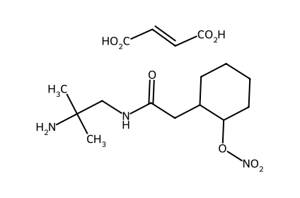 CC(C)(N)CNC(=O)CC1CCCCC1O[N+](=O)[O-].O=C(O)C=CC(=O)O